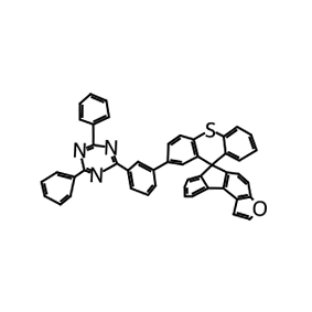 c1ccc(-c2nc(-c3ccccc3)nc(-c3cccc(-c4ccc5c(c4)C4(c6ccccc6S5)c5ccccc5-c5c4ccc4occc54)c3)n2)cc1